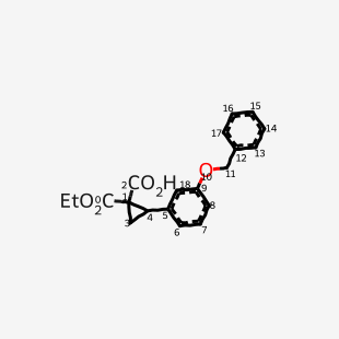 CCOC(=O)C1(C(=O)O)CC1c1cccc(OCc2ccccc2)c1